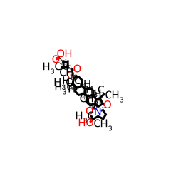 CC(C)C1=C2[C@H]3CC[C@@H]4[C@@]5(C)CC[C@H](OC(=O)[C@H]6C[C@@H](C(=O)O)C6(C)C)C(C)(C)[C@@H]5CC[C@@]4(C)[C@]3(C)CC[C@@]2(C(=O)N2CCCC2C(C)(C)O)CC1=O